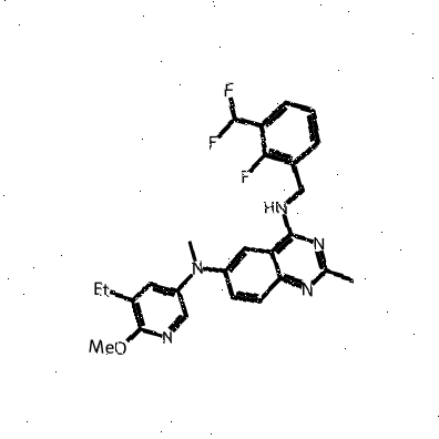 CCc1cc(N(C)c2ccc3nc(C)nc(NCc4cccc(C(F)F)c4F)c3c2)cnc1OC